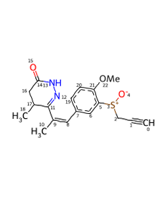 C#CC[S+]([O-])c1cc(C=C(C)C2=NNC(=O)CC2C)ccc1OC